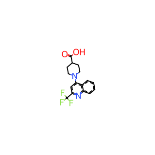 O=C(O)C1CCN(c2cc(C(F)(F)F)nc3ccccc23)CC1